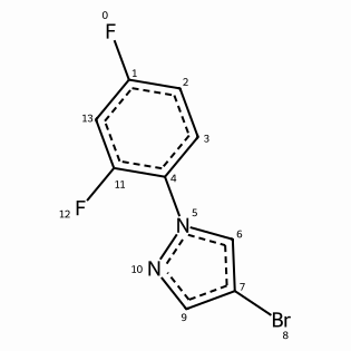 Fc1ccc(-n2cc(Br)cn2)c(F)c1